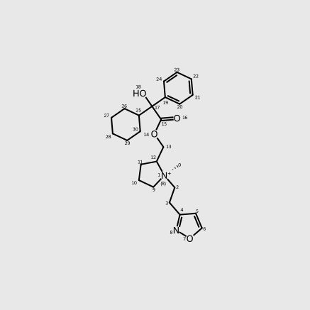 C[N@+]1(CCc2ccon2)CCCC1COC(=O)C(O)(c1ccccc1)C1CCCCC1